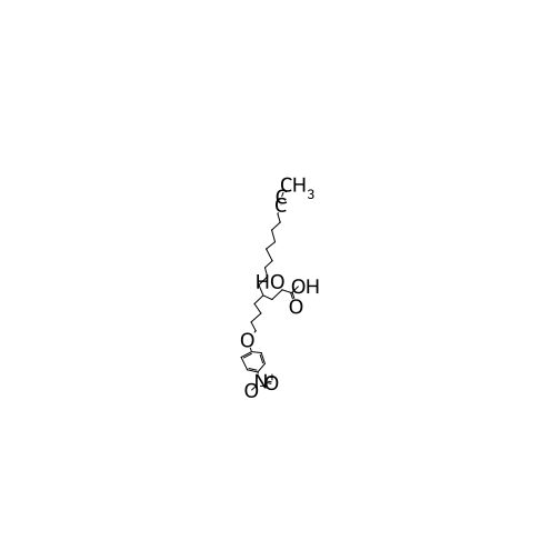 CCCCCCCCCCCCC(CCCCOc1ccc([N+](=O)[O-])cc1)CC(O)C(=O)O